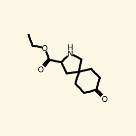 CCOC(=O)C1CC2(CCC(=O)CC2)CN1